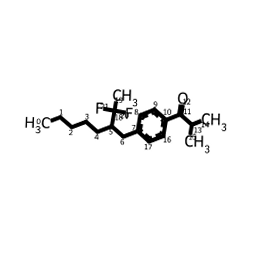 CCCCCC(Cc1ccc(C(=O)C(C)C)cc1)C(C)(F)F